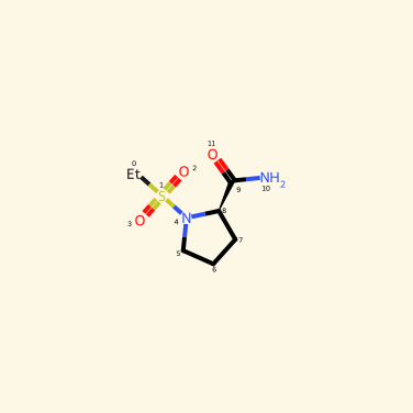 CCS(=O)(=O)N1CCC[C@@H]1C(N)=O